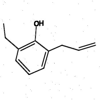 C=CCc1cccc(CC)c1O